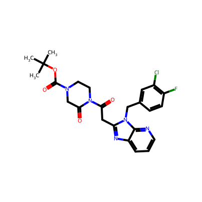 CC(C)(C)OC(=O)N1CCN(C(=O)Cc2nc3cccnc3n2Cc2ccc(F)c(Cl)c2)C(=O)C1